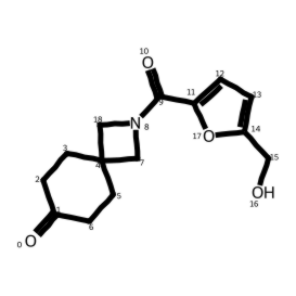 O=C1CCC2(CC1)CN(C(=O)c1ccc(CO)o1)C2